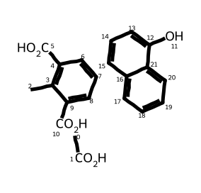 CC(=O)O.Cc1c(C(=O)O)cccc1C(=O)O.Oc1cccc2ccccc12